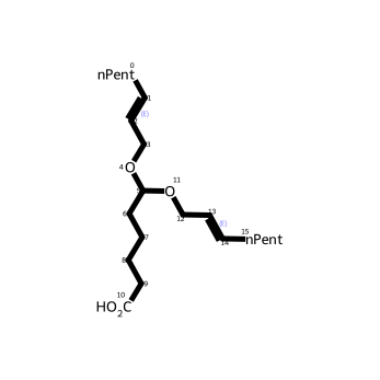 CCCCC/C=C/COC(CCCCC(=O)O)OC/C=C/CCCCC